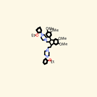 CCOc1ccccc1N1CCN(CCC2c3cc(OC)c(OC)cc3C(c3ccc(OC)c(OC)c3)C2CN2CCN(c3ccccc3OCC)CC2)CC1